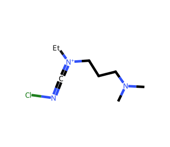 CC[N+](=C=NCl)CCCN(C)C